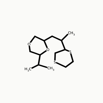 CC(C)C1COCC(CC(C)C2CSCCS2)O1